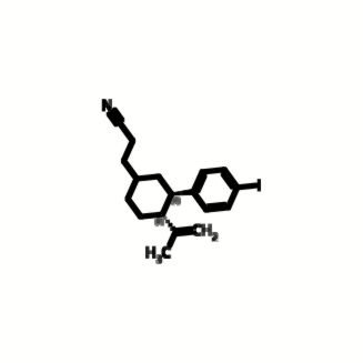 C=C(C)[C@@H]1CCC(CCC#N)C[C@H]1c1ccc(I)cc1